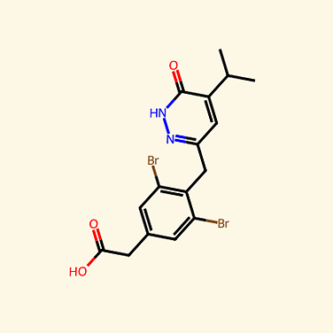 CC(C)c1cc(Cc2c(Br)cc(CC(=O)O)cc2Br)n[nH]c1=O